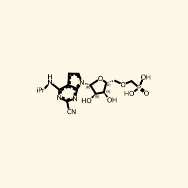 CC(C)Nc1nc(C#N)nc2c1ccn2[C@@H]1O[C@H](COCP(=O)(O)O)[C@@H](O)[C@H]1O